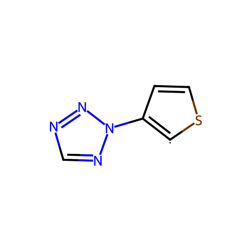 [c]1sccc1-n1ncnn1